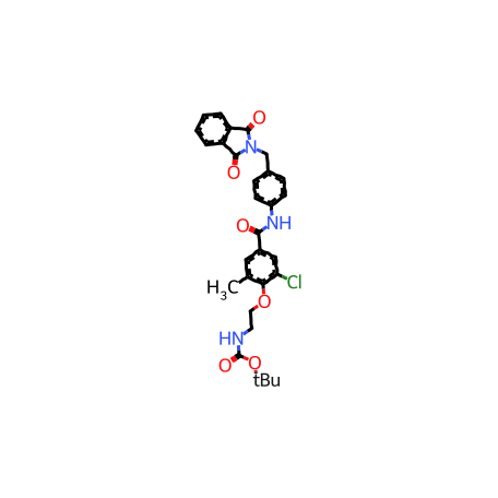 Cc1cc(C(=O)Nc2ccc(CN3C(=O)c4ccccc4C3=O)cc2)cc(Cl)c1OCCNC(=O)OC(C)(C)C